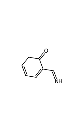 N=CC1=CC=CCC1=O